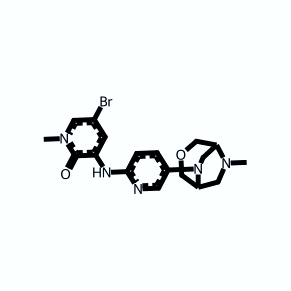 CN1CC2COCC1CN2c1ccc(Nc2cc(Br)cn(C)c2=O)nc1